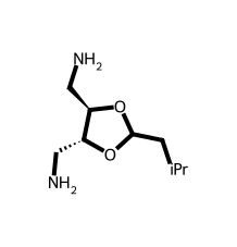 CC(C)CC1O[C@H](CN)[C@@H](CN)O1